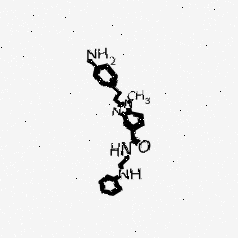 Cn1c(CCc2ccc(CN)cc2)nc2cc(C(=O)NCCNc3ccccc3)ccc21